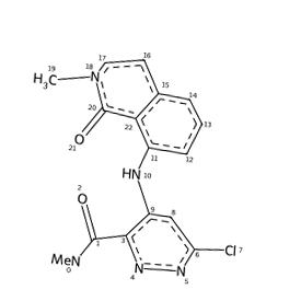 CNC(=O)c1nnc(Cl)cc1Nc1cccc2ccn(C)c(=O)c12